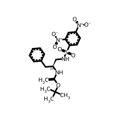 C=C(N[C@H](CNS(=O)(=O)c1ccc([N+](=O)[O-])cc1[N+](=O)[O-])Cc1ccccc1)OC(C)(C)C